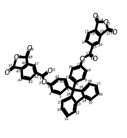 O=C(Oc1ccc(C2(c3ccc(OC(=O)c4ccc5c(c4)C(=O)OC5=O)cc3)c3ccccc3-c3ccccc32)cc1)c1ccc2c(c1)C(=O)OC2=O